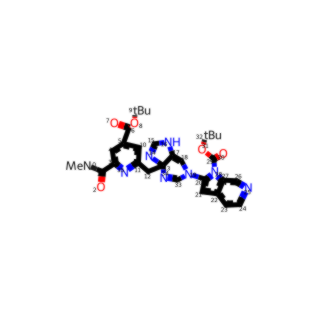 CNC(=O)c1cc(C(=O)OC(C)(C)C)cc(CC23N=CNC2=CN(c2cc4ccncc4n2C(=O)OC(C)(C)C)C=N3)n1